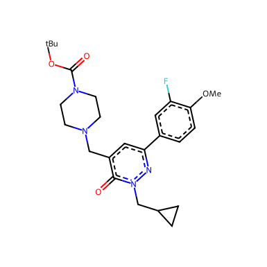 COc1ccc(-c2cc(CN3CCN(C(=O)OC(C)(C)C)CC3)c(=O)n(CC3CC3)n2)cc1F